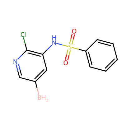 Bc1cnc(Cl)c(NS(=O)(=O)c2ccccc2)c1